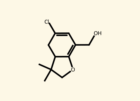 CC1(C)COC2=C(CO)C=C(Cl)CC21